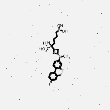 CN(c1ccc(-c2ccc(F)cc2F)c(F)c1)[C@H]1C[C@H]([C@@](N)(CCCCB(O)O)C(=O)O)C1